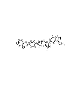 Cn1ncc2ccc(-c3n[nH]c4c3Cc3sc(-c5ccc(CCN6CCOCC6=O)cc5)cc3-4)cc21